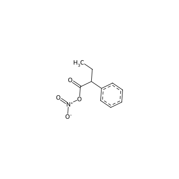 CCC(C(=O)O[N+](=O)[O-])c1ccccc1